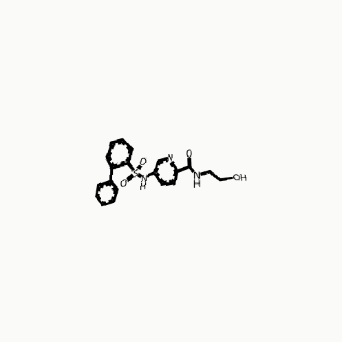 O=C(NCCO)c1ccc(NS(=O)(=O)c2ccccc2-c2ccccc2)cn1